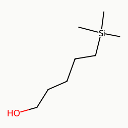 C[Si](C)(C)CCCCCO